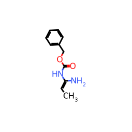 CC=C(N)NC(=O)OCc1ccccc1